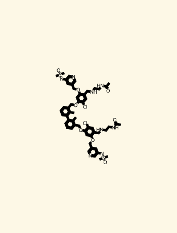 CC(=O)NCCNCc1cc(Cl)c(OCc2cccc(-c3cccc(COc4cc(OCc5cncc(N=S(C)(C)=O)c5)c(CNCCNC(C)=O)cc4Cl)c3C)c2C)cc1OCc1cncc(N=S(C)(C)=O)c1